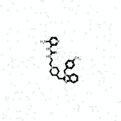 Cc1ccc(Cn2c(CC3CCN(CCNC(=S)Nc4cnccc4N)CC3)nc3ccccc32)cc1